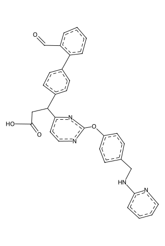 O=Cc1ccccc1-c1ccc(C(CC(=O)O)c2ccnc(Oc3ccc(CNc4ccccn4)cc3)n2)cc1